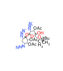 CC(=O)OC1C(N=[N+]=[N-])CC(N=[N+]=[N-])[C@@H](O[C@H]2OC(CO[Si](C)(C)C(C)(C)C)[C@@H](O)C(OC(C)=O)C2N=[N+]=[N-])C1OC(C)=O